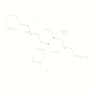 C=CCN1CCC2(c3cccc(OC(C)=O)c3)CC(NC(=O)c3ccccc3)CCC2(OC)C1